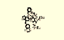 CC(C)(C)[Si](C)(C)OC[C@H]1OC(O)(c2cc(Cc3ccc4c(c3)OCCO4)c3c(c2OCc2ccccc2)CCO3)[C@H](O[Si](C)(C)C(C)(C)C)[C@@H](O[Si](C)(C)C(C)(C)C)[C@@H]1F